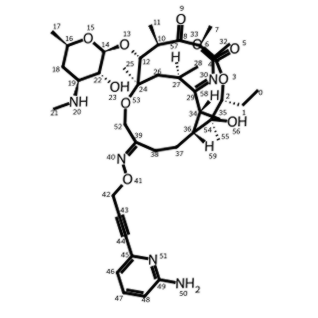 CC[C@H]1OC(=O)[C@H](C)C(=O)[C@H](C)[C@@H](O[C@@H]2O[C@H](C)C[C@H](NC)[C@H]2O)[C@@]2(C)C[C@@H](C)/C(=N\C(C)=O)[C@H](C)[C@@H](CC/C(=N\OCC#Cc3cccc(N)n3)CO2)[C@]1(C)O